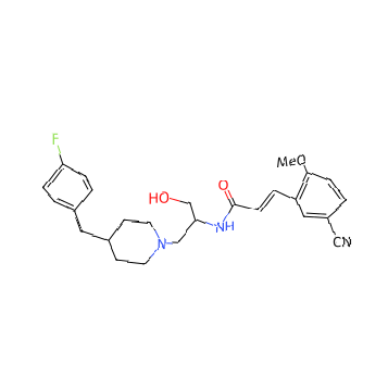 COc1ccc(C#N)cc1/C=C/C(=O)NC(CO)CN1CCC(Cc2ccc(F)cc2)CC1